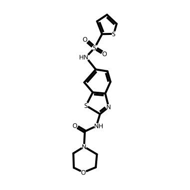 O=C(Nc1nc2ccc(NS(=O)(=O)c3cccs3)cc2s1)N1CCOCC1